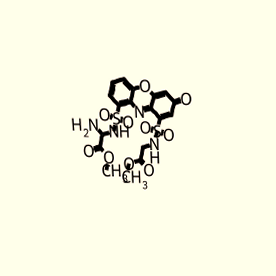 COC(=O)CNS(=O)(=O)c1cc(=O)cc2oc3cccc(S(=O)(=O)NC(N)C(=O)OC)c3nc1-2